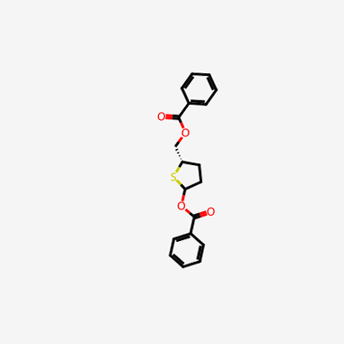 O=C(OC[C@@H]1CCC(OC(=O)c2ccccc2)S1)c1ccccc1